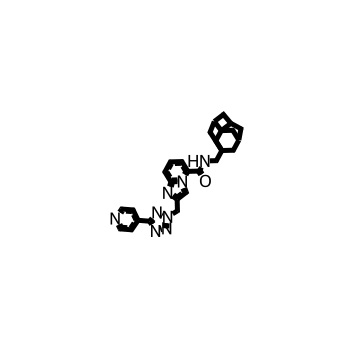 O=C(NCC12CC3CC4CC(C1)C4(C3)C2)c1cccc2nc(Cn3nnc(-c4ccncc4)n3)cn12